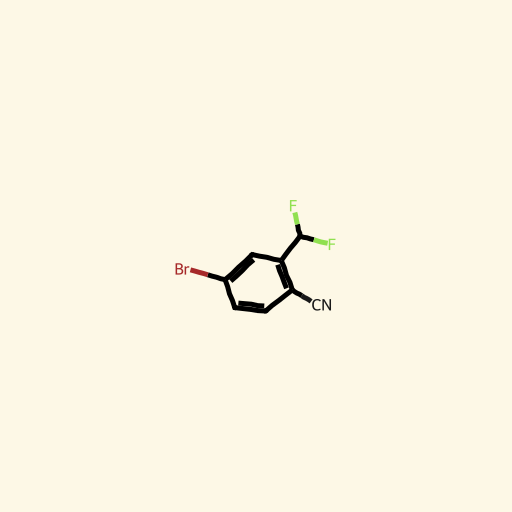 N#Cc1ccc(Br)cc1C(F)F